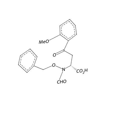 COc1ccccc1C(=O)C[C@H](C(=O)O)N(C=O)OCc1ccccc1